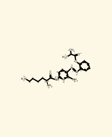 CC(C)C(=O)Oc1ccccc1/N=N/c1ccc(NC(=O)[C@@H](N)CCCCN)nc1N